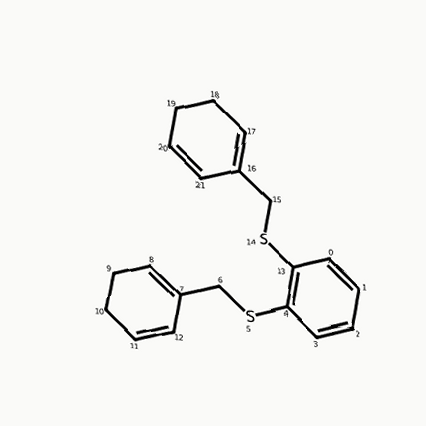 [c]1cccc(SCC2=CCCC=C2)c1SCC1=CCCC=C1